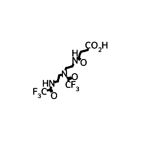 O=C(O)CCC(=O)NCCN(CCNC(=O)C(F)(F)F)C(=O)C(F)(F)F